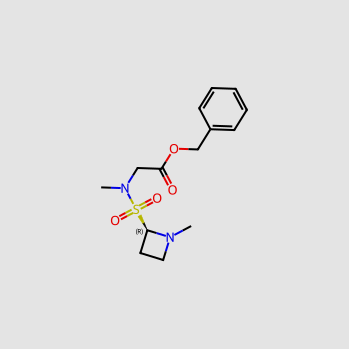 CN1CC[C@H]1S(=O)(=O)N(C)CC(=O)OCc1ccccc1